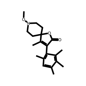 CON1CCC2(CC1)OC(=O)C(c1c(C)cc(C)c(C)c1C)=C2C